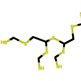 SCSCC(SCS)SC(CSCS)SCS